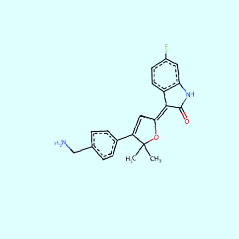 CC1(C)OC(=C2C(=O)Nc3cc(F)ccc32)C=C1c1ccc(CN)cc1